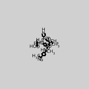 Cc1ncsc1-c1ccc([C@H](C)NC(=O)[C@@H]2C[C@@H](O)CN2C(=O)[C@@H](c2cc(N(C)C3CCNCC3)no2)C(C)C)cc1.O=C(O)C(F)(F)F